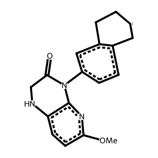 COc1ccc2c(n1)N(c1ccc3c(c1)CC[C]C3)C(=O)CN2